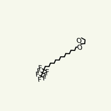 FC(F)(F)C(F)(F)C(F)(F)CCCCCCCCCCCCCOC1CCCO1